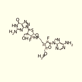 Nc1nc2c(nnn2[C@@H]2SC(OPCC[C@H]3[C@H](F)[C@H](n4cnc5c(N)ncnc54)O[C@@H]3COP)[C@@H](F)[C@H]2CO)c(=O)[nH]1